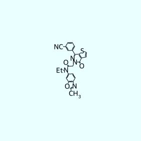 CCN(C(=O)Cn1nc(-c2cccc(C#N)c2)c2sccc2c1=O)c1ccc2nc(C)oc2c1